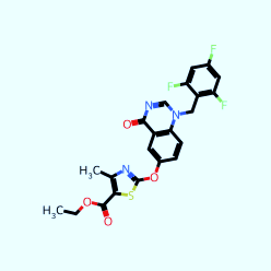 CCOC(=O)c1sc(Oc2ccc3c(c2)c(=O)ncn3Cc2c(F)cc(F)cc2F)nc1C